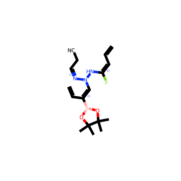 C=C/C=C(/F)NN(/C=C(\C=C)B1OC(C)(C)C(C)(C)O1)/N=C\CC#N